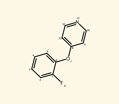 Fc1c[c]ccc1Oc1ccncc1